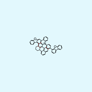 c1ccc(N(c2ccc(-c3cccc4c3oc3ccccc34)cc2)c2ccccc2-c2cccc3cccc(C4CCCCC4)c23)c(-c2ccc3c(c2)oc2ccccc23)c1